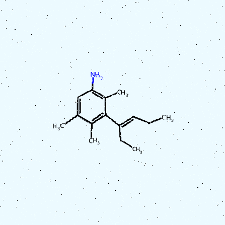 CC/C=C(\CC)c1c(C)c(C)cc(N)c1C